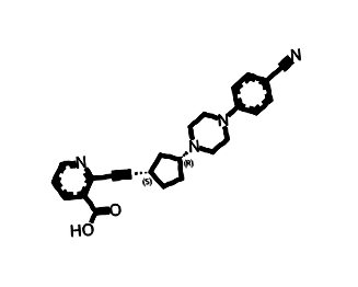 N#Cc1ccc(N2CCN([C@@H]3CC[C@H](C#Cc4ncccc4C(=O)O)C3)CC2)cc1